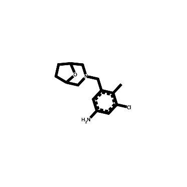 Cc1c(Cl)cc(N)cc1CN1CC2CCC(C1)O2